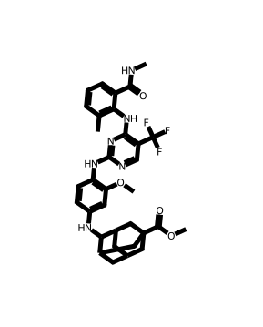 CNC(=O)c1cccc(C)c1Nc1nc(Nc2ccc(NC3C4CC5CC3CC(C(=O)OC)(C5)C4)cc2OC)ncc1C(F)(F)F